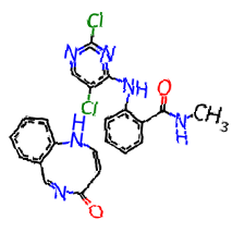 CNC(=O)c1ccccc1Nc1nc(Cl)ncc1Cl.O=C1/C=C\Nc2ccccc2/C=N\1